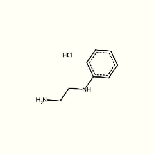 Cl.NCCNc1ccccc1